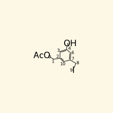 CC(=O)OCc1cc(O)cc(CI)c1